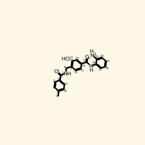 Cc1ccc(C(=O)NCc2ccc(C(=O)Nc3ccccc3N)cc2)cc1.Cl